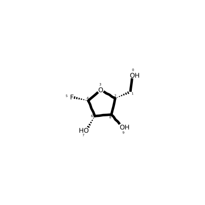 OC[C@H]1O[C@@H](F)[C@@H](O)C1O